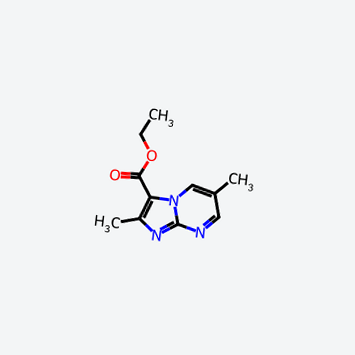 CCOC(=O)c1c(C)nc2ncc(C)cn12